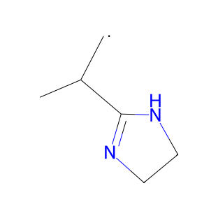 [CH2]C(C)C1=NCCN1